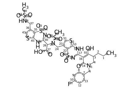 CCCC1CN(Cc2ccc(F)cc2)C(=O)C(C2=NS(=O)(=O)c3c(CN(C(C(=O)O)C4=NS(=O)(=O)c5c(CNS(C)(=O)=O)csc5N4)S(C)(=O)=O)csc3N2)=C1O